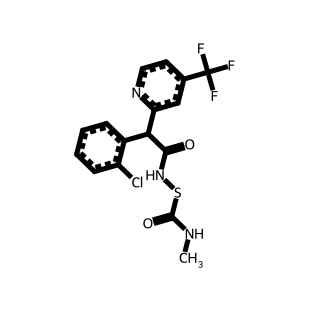 CNC(=O)SNC(=O)C(c1cc(C(F)(F)F)ccn1)c1ccccc1Cl